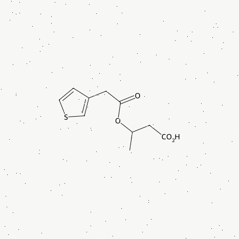 CC(CC(=O)O)OC(=O)Cc1ccsc1